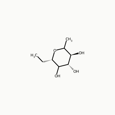 CC[C@@H]1OC(C)[C@@H](O)[C@H](O)C1O